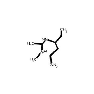 CCC(CCN)NC(C)NC